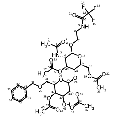 CC(=O)N[C@@H]1[C@@H](OCCNC(=O)C(F)(F)F)O[C@@H](COC(C)=O)[C@H](O[C@@H]2O[C@H](COCc3ccccc3)[C@H](OC(C)=O)[C@H](O)[C@H]2OC(C)=O)[C@H]1OC(C)=O